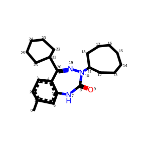 Cc1ccc2c(c1)NC(=O)N(C1CCCCCCC1)N=C2C1CCCCC1